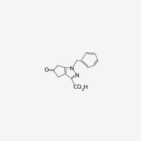 O=C1Cc2c(C(=O)O)nn(Cc3ccccc3)c2C1